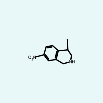 CC1CNCc2cc([N+](=O)[O-])ccc21